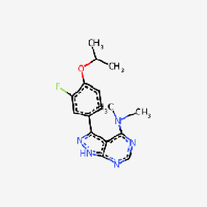 CC(C)Oc1ccc(-c2n[nH]c3ncnc(N(C)C)c23)cc1F